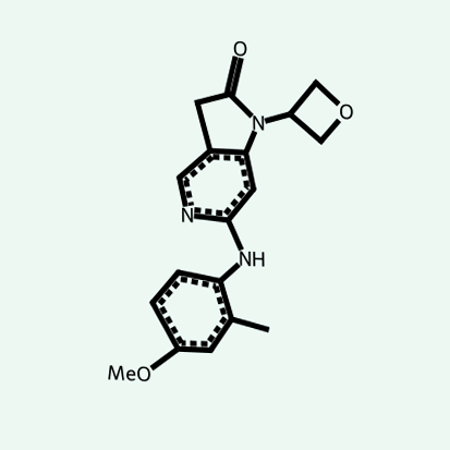 COc1ccc(Nc2cc3c(cn2)CC(=O)N3C2COC2)c(C)c1